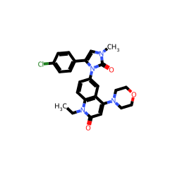 CCn1c(=O)cc(N2CCOCC2)c2cc(-n3c(-c4ccc(Cl)cc4)cn(C)c3=O)ccc21